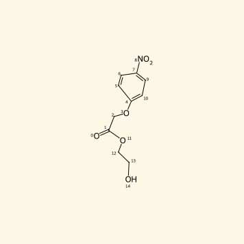 O=C(COc1ccc([N+](=O)[O-])cc1)OCCO